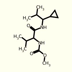 COC(=O)NC(C(=O)NC(C(C)C)C1CC1)C(C)C